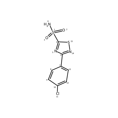 NS(=O)(=O)c1nc(-c2ccc(Cl)cc2)ns1